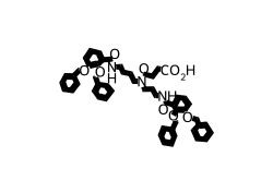 O=C(O)CCC(=O)N(CCCCNC(=O)c1cccc(OCc2ccccc2)c1OCc1ccccc1)CCCNC(=O)c1cccc(OCc2ccccc2)c1OCc1ccccc1